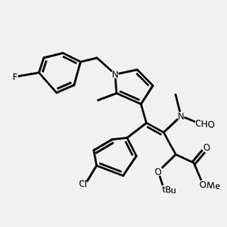 COC(=O)C(OC(C)(C)C)/C(=C(\c1ccc(Cl)cc1)c1ccn(Cc2ccc(F)cc2)c1C)N(C)C=O